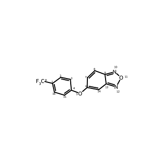 FC(F)(F)c1ccc(Oc2ccc3nonc3c2)cc1